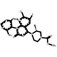 CCC(C)c1ncnc(C(C)CC)c1-n1c(=O)nc(N2CCN(C(=O)OC(C)(C)C)C[C@@H]2C)c2cc(F)c(Cl)[n+](O)c21